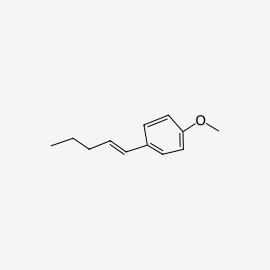 CCCC=Cc1ccc(OC)cc1